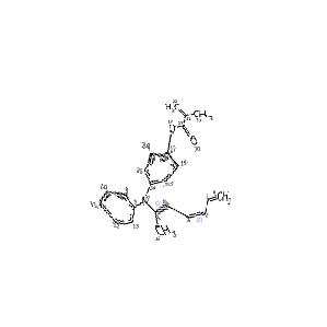 C=C/C=C\C=C(/C)N(c1ccccc1)c1ccc(OC(=O)C(=C)C)cc1